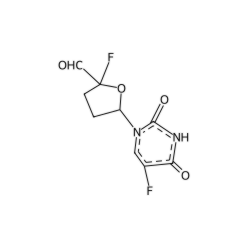 O=CC1(F)CCC(n2cc(F)c(=O)[nH]c2=O)O1